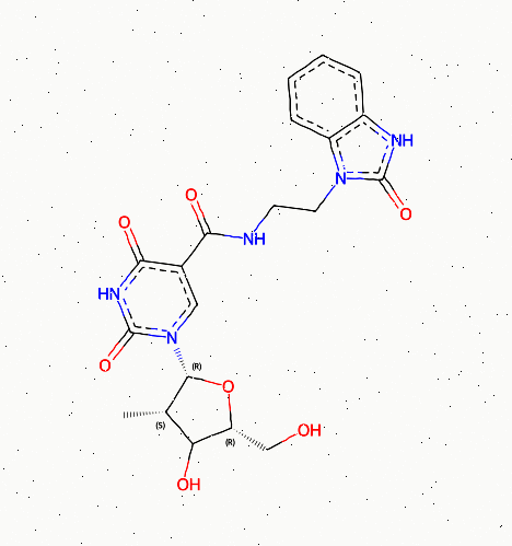 C[C@H]1C(O)[C@@H](CO)O[C@H]1n1cc(C(=O)NCCn2c(=O)[nH]c3ccccc32)c(=O)[nH]c1=O